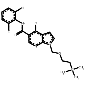 C[Si](C)(C)CCOCn1ccc2c(Cl)c(C(=O)Nc3c(Cl)cccc3Cl)cnc21